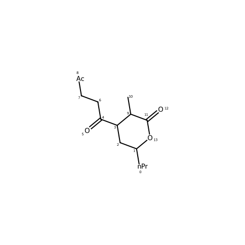 CCCC1CC(C(=O)CCC(C)=O)C(C)C(=O)O1